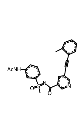 CC(=O)Nc1cccc(S(C)(=O)=NC(=O)c2cncc(C#Cc3ccccc3C)c2)c1